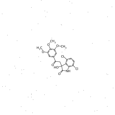 COc1cc(C(=O)CC2(O)C(=O)Nc3c(Cl)ccc(Cl)c32)cc(OC)c1OC